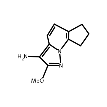 COc1nn2c3c(ccc2c1N)CCC3